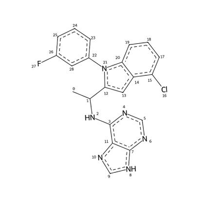 CC(Nc1ncnc2[nH]cnc12)c1cc2c(Cl)cccc2n1-c1cccc(F)c1